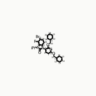 CC(C)n1c(=O)n(-c2ccc(OCc3ccccc3)nc2OCc2ccccc2)c2ccc(Br)c(F)c21